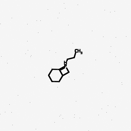 CCC[PH]1=C2CCCCC2C1